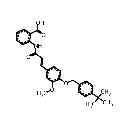 COc1cc(/C=C/C(=O)Nc2ccccc2C(=O)O)ccc1OCc1ccc(C(C)(C)C)cc1